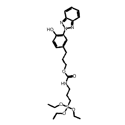 CCO[Si](CCCNC(=O)OCCCc1ccc(O)c(-n2nc3ccccc3n2)c1)(OCC)OCC